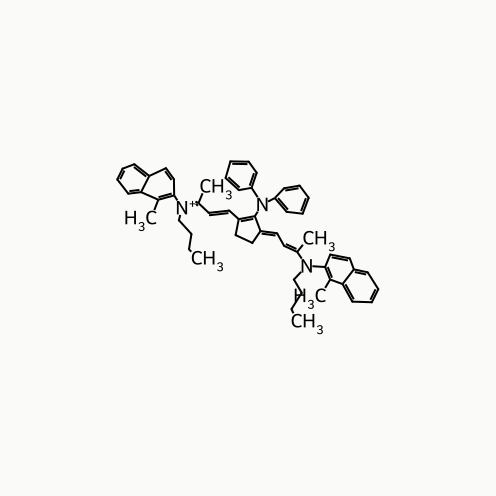 CCCCN(/C(C)=C/C=C1\CCC(/C=C/C(C)=[N+](\CCCC)c2ccc3ccccc3c2C)=C1N(c1ccccc1)c1ccccc1)c1ccc2ccccc2c1C